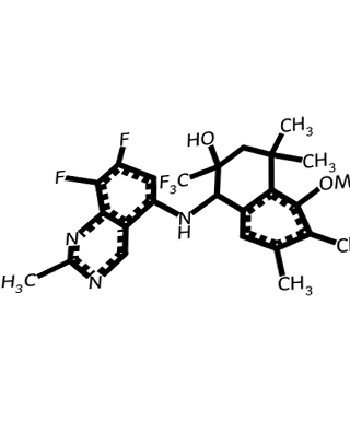 COc1c(Cl)c(C)cc2c1C(C)(C)CC(O)(C(F)(F)F)C2Nc1cc(F)c(F)c2nc(C)ncc12